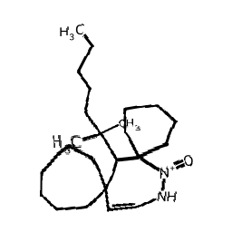 CCCCCC(C)(C)C1C2(C=CN[N+](=O)C13CCCCC3)CCCCCC2